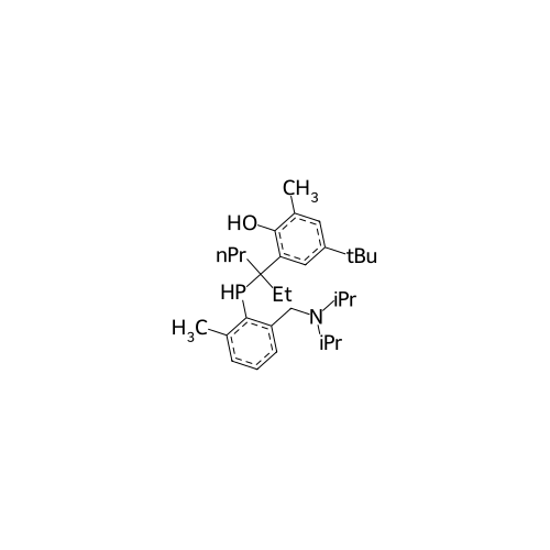 CCCC(CC)(Pc1c(C)cccc1CN(C(C)C)C(C)C)c1cc(C(C)(C)C)cc(C)c1O